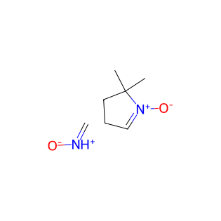 C=[NH+][O-].CC1(C)CCC=[N+]1[O-]